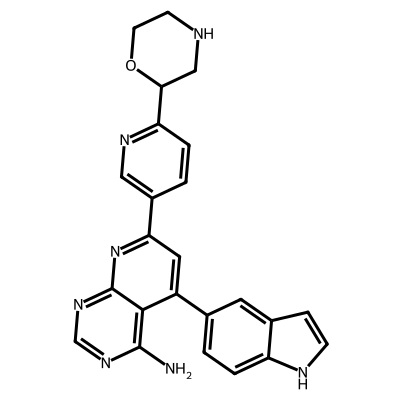 Nc1ncnc2nc(-c3ccc(C4CNCCO4)nc3)cc(-c3ccc4[nH]ccc4c3)c12